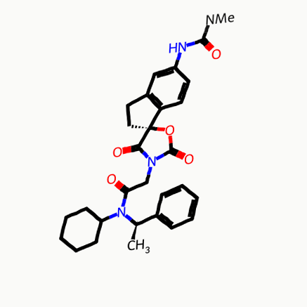 CNC(=O)Nc1ccc2c(c1)CC[C@@]21OC(=O)N(CC(=O)N(C2CCCCC2)[C@H](C)c2ccccc2)C1=O